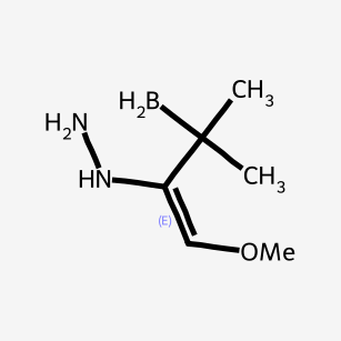 BC(C)(C)/C(=C\OC)NN